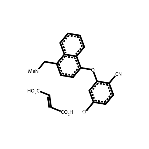 CNCc1ccc(Oc2cc(Cl)ccc2C#N)c2ccccc12.O=C(O)C=CC(=O)O